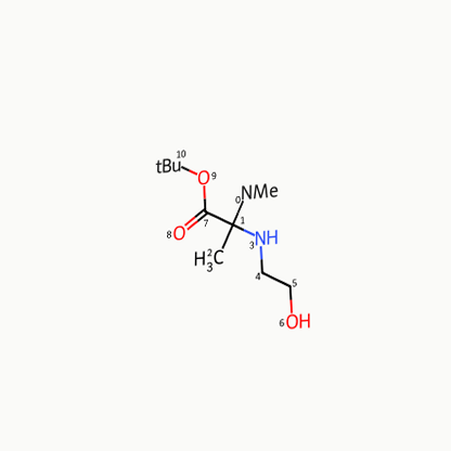 CNC(C)(NCCO)C(=O)OC(C)(C)C